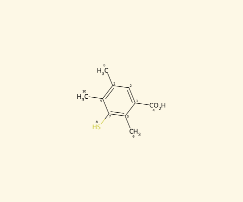 Cc1cc(C(=O)O)c(C)c(S)c1C